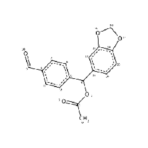 CC(=O)OC(c1ccc(C=O)cc1)c1ccc2c(c1)OCO2